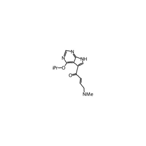 CNCC=CC(=O)c1c[nH]c2ncnc(OC(C)C)c12